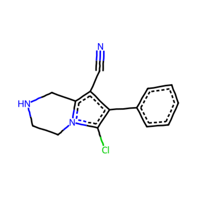 N#Cc1c(-c2ccccc2)c(Cl)n2c1CNCC2